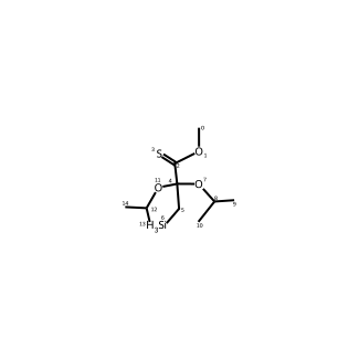 COC(=S)C(C[SiH3])(OC(C)C)OC(C)C